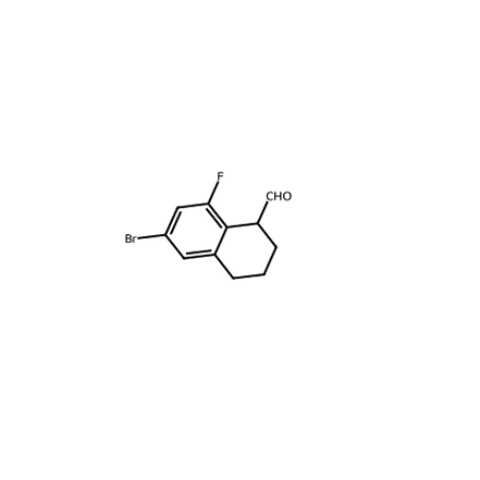 O=CC1CCCc2cc(Br)cc(F)c21